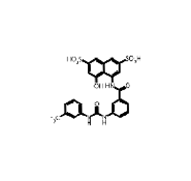 O=C(Nc1cccc(C(=O)Nc2cc(S(=O)(=O)O)cc3cc(S(=O)(=O)O)cc(O)c23)c1)Nc1cccc(C(F)(F)F)c1